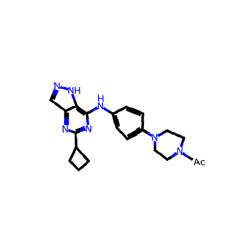 CC(=O)N1CCN(c2ccc(Nc3nc(C4CCC4)nc4cn[nH]c34)cc2)CC1